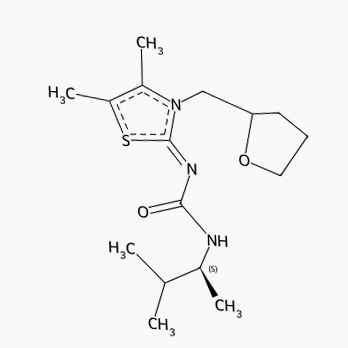 Cc1sc(=NC(=O)N[C@@H](C)C(C)C)n(CC2CCCO2)c1C